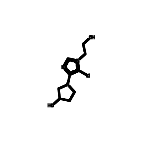 OCCn1cnc(N2CCC(O)C2)c1Cl